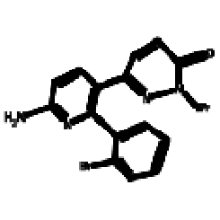 CC(C)n1nc(-c2ccc(N)nc2-c2ccccc2Br)ccc1=O